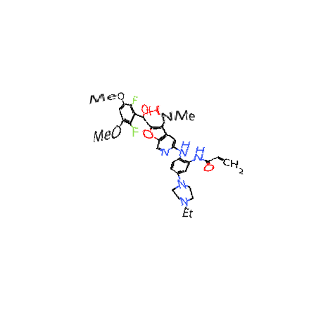 C=CC(=O)Nc1cc(N2CCN(CC)CC2)ccc1Nc1cc2c(NC)c(C(O)c3c(F)c(OC)cc(OC)c3F)oc2cn1